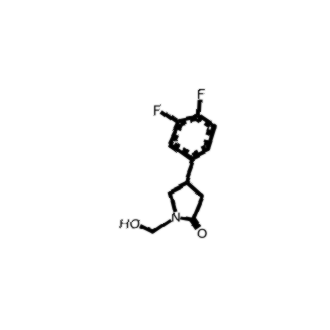 O=C1CC(c2ccc(F)c(F)c2)CN1CO